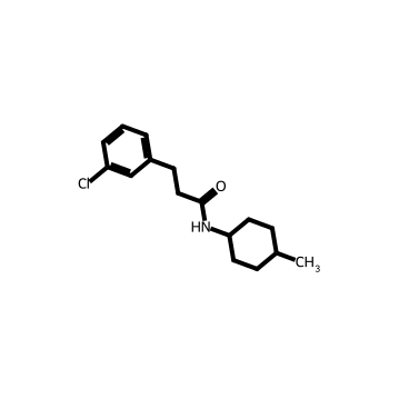 CC1CCC(NC(=O)CCc2cccc(Cl)c2)CC1